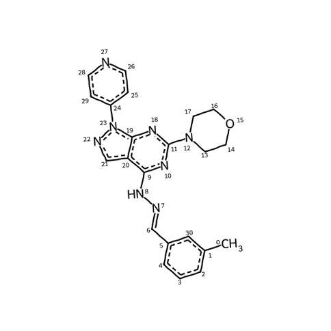 Cc1cccc(/C=N/Nc2nc(N3CCOCC3)nc3c2cnn3-c2ccncc2)c1